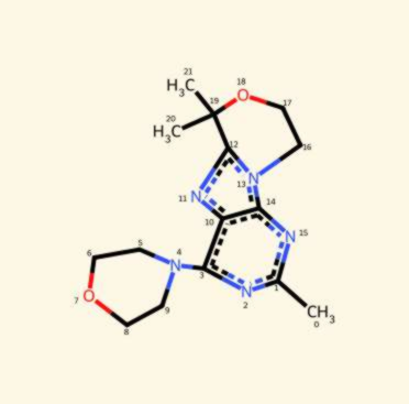 Cc1nc(N2CCOCC2)c2nc3n(c2n1)CCOC3(C)C